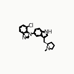 CN1CCC[C@@H]1Cc1c[nH]c2ccc(-n3cnc4cccc(Cl)c43)cc12